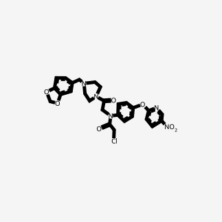 O=C(CN(C(=O)CCl)c1ccc(Oc2ccc([N+](=O)[O-])cn2)cc1)N1CCN(Cc2ccc3c(c2)OCO3)CC1